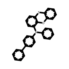 c1ccc(-c2ccc(N(c3ccccc3)c3cccc4c3Oc3ccccc3S4)cc2)cc1